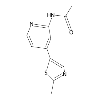 CC(=O)Nc1cc(-c2cnc(C)s2)ccn1